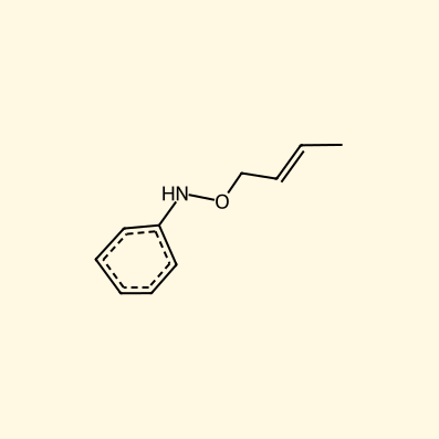 CC=CCONc1ccccc1